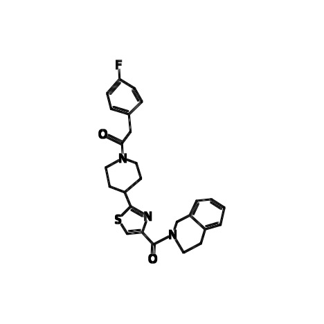 O=C(Cc1ccc(F)cc1)N1CCC(c2nc(C(=O)N3CCc4ccccc4C3)cs2)CC1